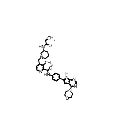 C=CC(=O)NC1CCCN(Cc2ccnc(C(=O)Nc3ccc(-c4cc5c(N6CCOCC6)ncnc5[nH]4)cc3)c2C)C1